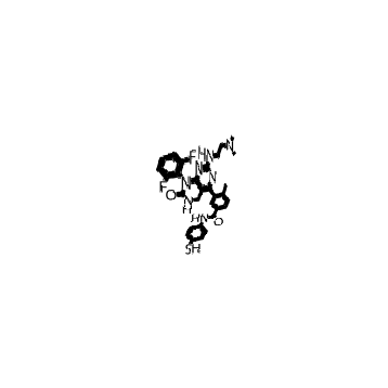 Cc1ccc(C(=O)Nc2ccc(S)cc2)cc1-c1nc(NCCN(C)C)nc2c1CNC(=O)N2c1c(F)cccc1F